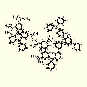 CC(C)c1cc(C(C)C)c2oc3c(N(c4ccccc4)c4ccccc4)cc(C(C)CCC(C)c4cc(C(C)C)cc5c4oc4c(C(C)C)cc(N(c6ccccc6)c6cccc(-c7cccc(-c8cc(-c9ccccc9)cc9oc%10cc(N(c%11ccccc%11)c%11ccccc%11)ccc%10c89)c7)c6)cc45)cc3c2c1